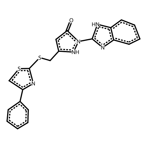 O=c1cc(CSc2nc(-c3ccccc3)cs2)[nH]n1-c1nc2ccccc2[nH]1